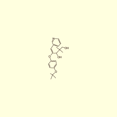 CC(C)(C)Oc1ccc(O/C(=C/c2cccnc2)C(O)C(C)(C)CO)cc1